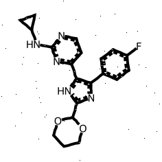 Fc1ccc(-c2nc(C3OCCCO3)[nH]c2-c2ccnc(NC3CC3)n2)cc1